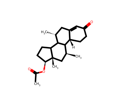 CC(=O)O[C@H]1CCC2C3C([C@@H](C)C[C@@]21C)[C@H]1CCC(=O)C=C1C[C@H]3C